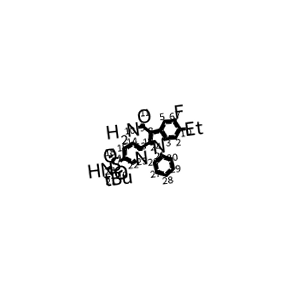 CCc1cc2c(cc1F)c(C(N)=O)c(-c1ccc(S(=O)(=O)NC(C)(C)C)cn1)n2-c1ccccc1